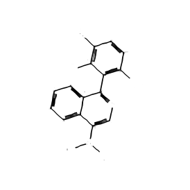 CCCN(CCC)c1cnc(-c2c(C)ccc([N+](=O)[O-])c2C)c2ccccc12